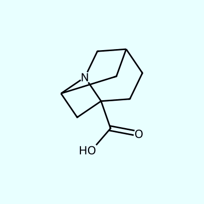 O=C(O)C12CCC3CC(C1)N2C3